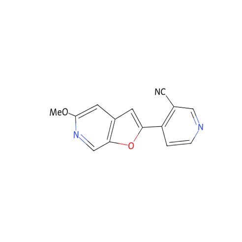 COc1cc2cc(-c3ccncc3C#N)oc2cn1